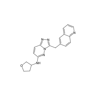 c1cnc2ccc(Cc3nnc4ccc(NC5CCOC5)nn34)cc2c1